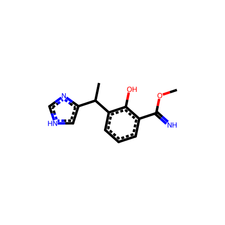 COC(=N)c1cccc(C(C)c2c[nH]cn2)c1O